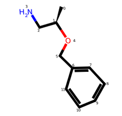 C[C@H](CN)OCc1ccccc1